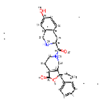 CC(C)CC1(c2ccccc2)OC(=O)C2=C1CN(C(=O)C1Cc3ccc(O)cc3CN1)CC2